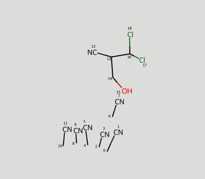 CC#N.CC#N.CC#N.CC#N.CC#N.CC#N.N#CC(CO)C(Cl)Cl